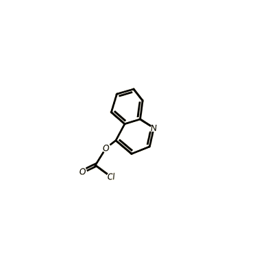 O=C(Cl)Oc1ccnc2ccccc12